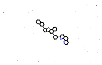 C1=CC(c2ccc3ccccc3c2)C2=C1c1cc(-c3cccc(-c4ccc5ccc6cccnc6c5n4)c3)c3ccccc3c1C2